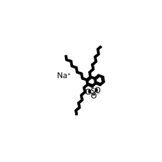 CCCCCCCCc1c(CCCCCCCC)c(S(=O)(=O)[O-])c2ccccc2c1CCCCCCCC.[Na+]